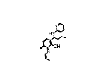 C=C1C=CC(C(CCC)Nc2ccccn2)=C(O)/C1=N/C=C\C